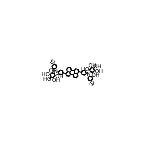 C[Si](C)(C)c1ccc(N(c2ccc(-c3ccc4c5cccc6c(-c7ccc(N(c8ccc([Si](C)(C)C)cc8)c8c(O)c(O)c(O)c(O)c8O)cc7)ccc(c7cccc3c74)c65)cc2)c2c(O)c(O)c(O)c(O)c2O)cc1